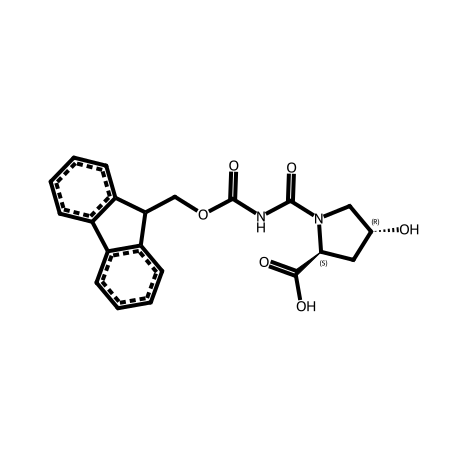 O=C(NC(=O)N1C[C@H](O)C[C@H]1C(=O)O)OCC1c2ccccc2-c2ccccc21